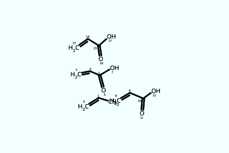 C=CC.C=CC(=O)O.C=CC(=O)O.C=CC(=O)O